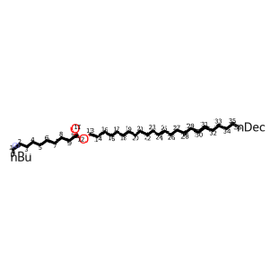 CCCC/C=C\CCCCCCCC(=O)OCCCCCCCCCCCCCCCCCCCCCCCCCCCCCCCCC